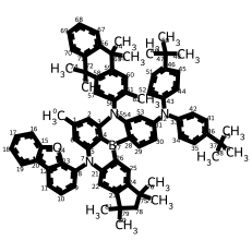 Cc1cc2c3c(c1)N(c1cccc4c1oc1ccccc14)c1cc4c(cc1B3c1ccc(N(c3ccc(C(C)(C)C)cc3)c3ccc(C(C)(C)C)cc3)cc1N2c1cc2c(cc1C)C(C)(C)c1ccccc1C2(C)C)C(C)(C)CC4(C)C